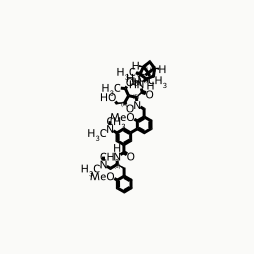 COc1ccccc1C[C@@H](CN(C)C)NC(=O)c1cc(-c2cccc(CN3O[C@@H](CO)C(C(C)O)[C@H]3C(=O)N[C@H]3C[C@H]4C[C@@H]([C@@H]3C)C4(C)C)c2OC)cc(N(C)C)c1